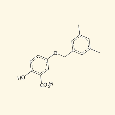 Cc1cc(C)cc(COc2ccc(O)c(C(=O)O)c2)c1